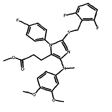 COC(=O)CCc1c(N(C)c2ccc(OC)c(OC)c2)nc(SCc2c(F)cccc2F)n1-c1ccc(F)cc1